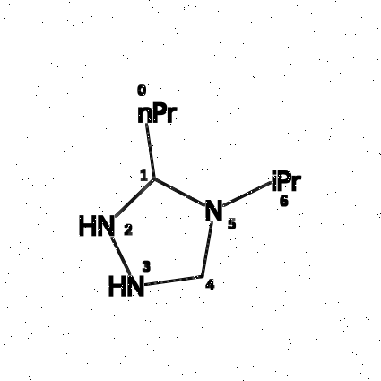 CCCC1NNCN1C(C)C